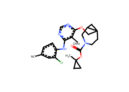 COc1c(Nc2ccc(C#N)cc2Cl)ncnc1OCC12CCN(C(=O)OC3(C)CC3)CC1C2